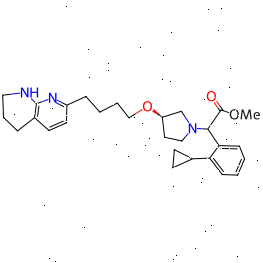 COC(=O)C(c1ccccc1C1CC1)N1CC[C@@H](OCCCCc2ccc3c(n2)NCCC3)C1